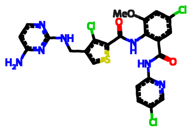 COc1cc(Cl)cc(C(=O)Nc2ccc(Cl)cn2)c1NC(=O)c1scc(CNc2nccc(N)n2)c1Cl